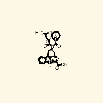 Cc1oc(C[C@@H](Cc2c[nH]c3ccccc23)N(C(=O)[C@@H](N)CC(C)C)C(=O)N2CCCCCC2)nc1C(=O)O